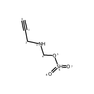 C#CCNCO[SH](=O)=O